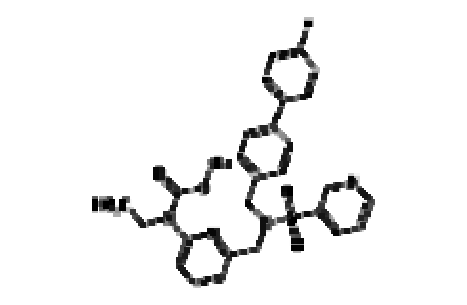 CC(C)(C)OC(=O)N(CC(=O)O)c1cccc(CN(Cc2ccc(-c3ccc(F)cc3)cc2)S(=O)(=O)c2cccnc2)n1